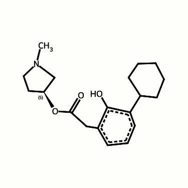 CN1CC[C@H](OC(=O)Cc2cccc(C3CCCCC3)c2O)C1